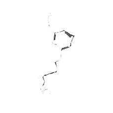 CC(C)Cc1cccc(OCCCN)n1